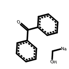 O=C(c1ccccc1)c1ccccc1.O[CH2][Na]